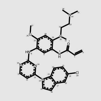 C=CC(=O)Nc1cc(Nc2nccc(-n3ccc4cc(Cl)ccc43)n2)c(OC)cc1N(C)CCN(C)C